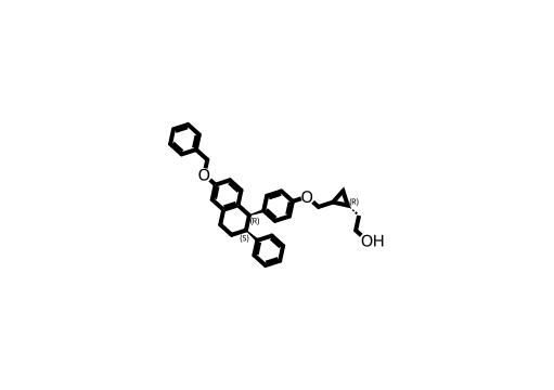 OCC[C@H]1CC1COc1ccc([C@@H]2c3ccc(OCc4ccccc4)cc3CC[C@@H]2c2ccccc2)cc1